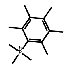 Cc1c(C)c(C)c([PH](C)(C)C)c(C)c1C